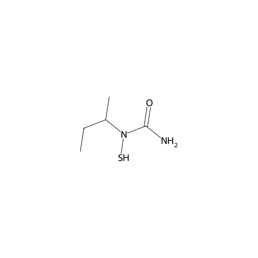 CCC(C)N(S)C(N)=O